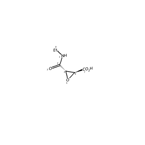 CCNC(=O)[C@H]1O[C@@H]1C(=O)O